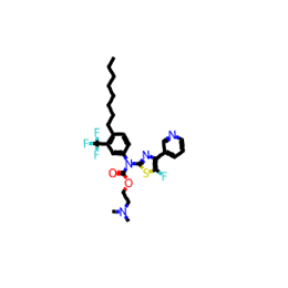 CCCCCCCCc1ccc(N(C(=O)OCCN(C)C)c2nc(-c3cccnc3)c(F)s2)cc1C(F)(F)F